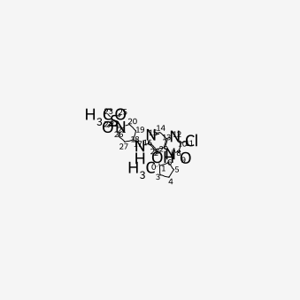 C[C@@]1(O)CCC[C@H]1n1c(=O)c(Cl)nc2cnc(NC3CCN(S(C)(=O)=O)CC3)cc21